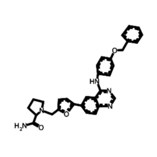 NC(=O)C1CCCN1Cc1ccc(-c2ccc3ncnc(Nc4ccc(OCc5ccccc5)cc4)c3c2)o1